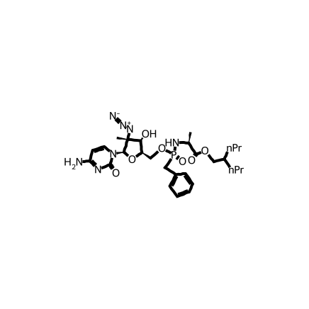 CCCC(CCC)COC(=O)[C@H](C)NP(=O)(Cc1ccccc1)OC[C@H]1O[C@@H](n2ccc(N)nc2=O)[C@](C)(N=[N+]=[N-])[C@@H]1O